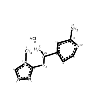 C[C@H](Sc1nncn1C)c1ccnc(N)c1.Cl